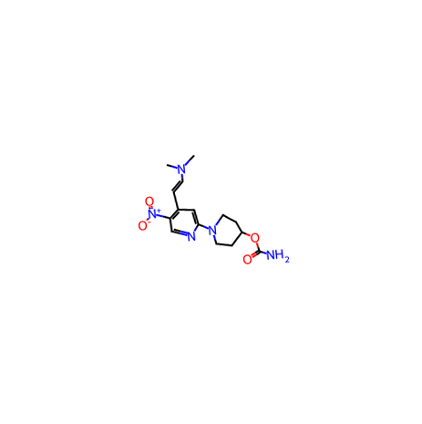 CN(C)C=Cc1cc(N2CCC(OC(N)=O)CC2)ncc1[N+](=O)[O-]